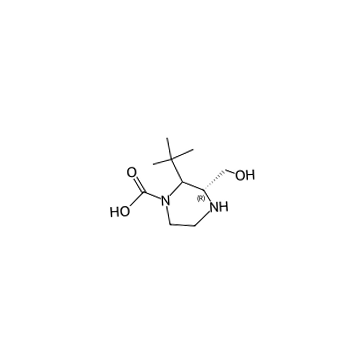 CC(C)(C)C1[C@H](CO)NCCN1C(=O)O